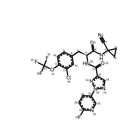 N#CC1(NC(=O)[C@H](Cc2ccc(OC(F)(F)F)c(Cl)c2)NC(=O)c2cnn(-c3ccc(F)nc3)n2)CC1